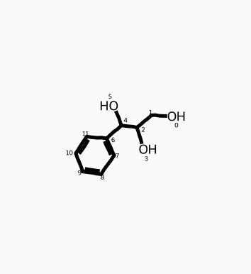 OCC(O)C(O)c1ccccc1